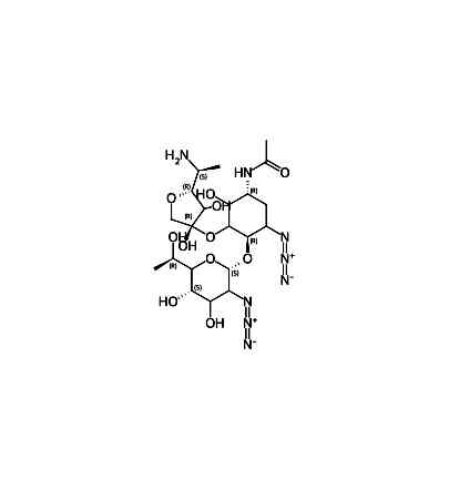 CC(=O)N[C@@H]1CC(N=[N+]=[N-])[C@@H](O[C@H]2OC([C@@H](C)O)[C@@H](O)C(O)C2N=[N+]=[N-])C(O[C@]2(O)CO[C@H]([C@H](C)N)C2O)C1O